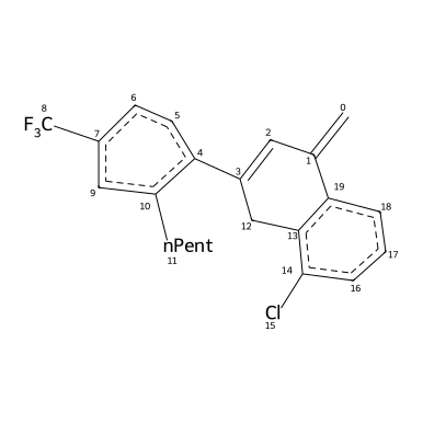 C=C1C=C(c2ccc(C(F)(F)F)cc2CCCCC)Cc2c(Cl)cccc21